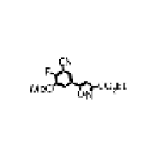 CCOC(=O)c1cc(-c2cc(C#N)c(F)c(OC)c2)on1